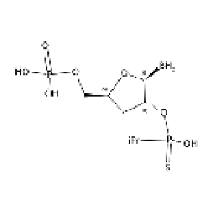 B[C@@H]1O[C@H](COP(=O)(O)O)C[C@H]1OP(O)(=S)C(C)C